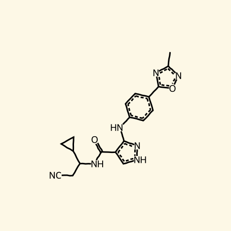 Cc1noc(-c2ccc(Nc3n[nH]cc3C(=O)NC(CC#N)C3CC3)cc2)n1